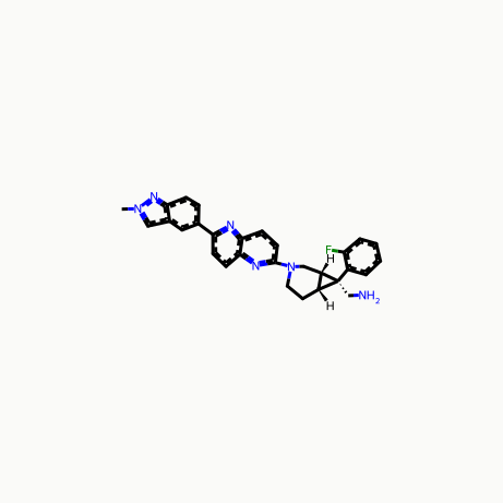 Cn1cc2cc(-c3ccc4nc(N5CC[C@@H]6[C@H](C5)[C@@]6(CN)c5ccccc5F)ccc4n3)ccc2n1